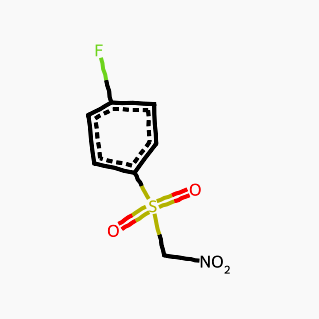 O=[N+]([O-])CS(=O)(=O)c1ccc(F)cc1